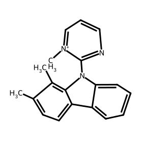 Cc1ccc2c3ccccc3n(-c3nccc[n+]3C)c2c1C